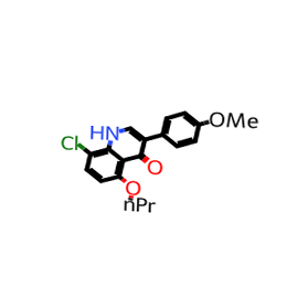 CCCOc1ccc(Cl)c2[nH]cc(-c3ccc(OC)cc3)c(=O)c12